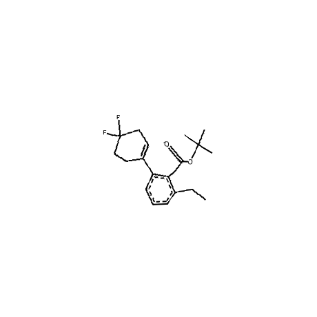 CCc1cccc(C2=CCC(F)(F)CC2)c1C(=O)OC(C)(C)C